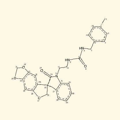 Cc1ccc(CNC(=O)NCCN2C(=O)C3(COc4cc5c(cc43)OCO5)c3ccccc32)cc1